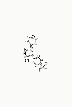 FC(F)(F)c1ccc(-c2cc(N3CCOCC3)nnc2Cl)cc1